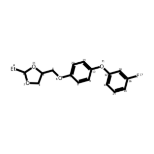 CCC1OCC(COc2ccc(Oc3cccc(F)c3)cc2)O1